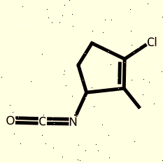 CC1=C(Cl)CCC1N=C=O